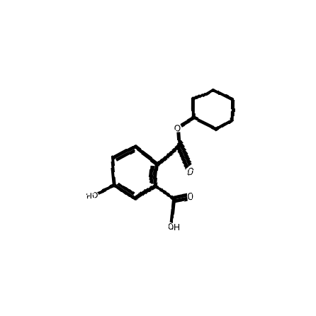 O=C(O)c1cc(O)ccc1C(=O)OC1CCCCC1